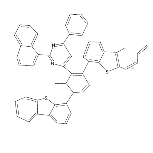 C=C/C=C\c1sc2c(C3=C(c4cc(-c5ccccc5)nc(-c5cccc6ccccc56)n4)C(C)C(c4cccc5c4sc4ccccc45)C=C3)cccc2c1C